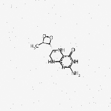 CC1OOC1[C@H]1CNc2nc(N)[nH]c(=O)c2N1